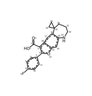 O=C(O)c1c(-c2ccc(F)cc2)oc2cc3c(cc12)C1(CCCN3)CC1